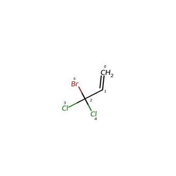 C=CC(Cl)(Cl)Br